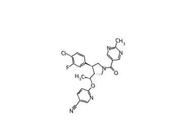 Cc1ncc(C(=O)N2C[C@H]([C@H](C)Oc3ccc(C#N)cn3)[C@@H](c3ccc(Cl)c(F)c3)C2)cn1